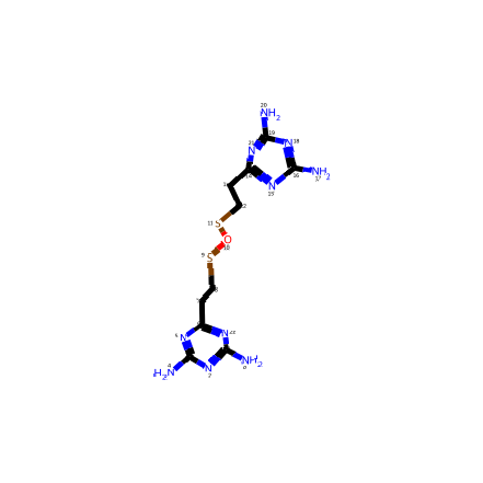 Nc1nc(N)nc(CCSOSCCc2nc(N)nc(N)n2)n1